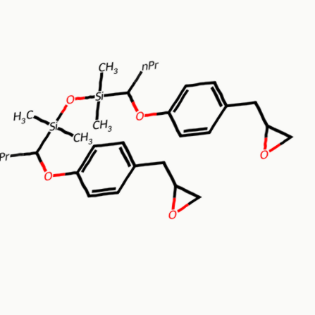 CCCC(Oc1ccc(CC2CO2)cc1)[Si](C)(C)O[Si](C)(C)C(CCC)Oc1ccc(CC2CO2)cc1